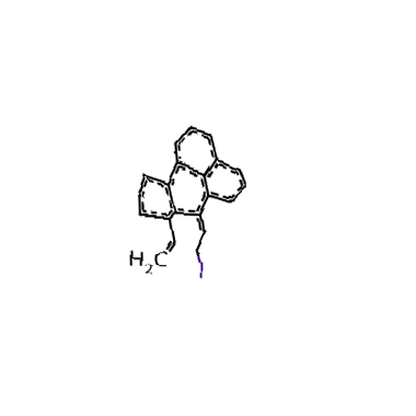 C=Cc1cccc2c1/c(=C\CI)c1cccc3cccc2c31